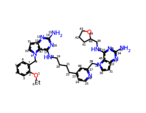 CCOc1ccccc1Cn1ccc2nc(N)nc(NCCCCc3ccnc(Cn4ccc5nc(N)nc(NCC6CCCO6)c54)c3)c21